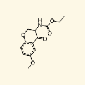 CCOC(=O)NC1COc2ccc(OC)cc2C1=O